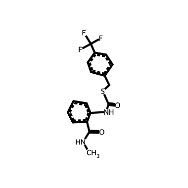 CNC(=O)c1ccccc1NC(=O)SCc1ccc(C(F)(F)F)cc1